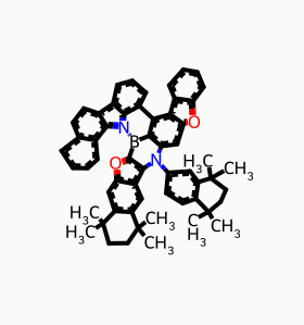 CC1(C)CCC(C)(C)c2cc(N3c4cc5oc6ccccc6c5c5c4B(c4oc6cc7c(cc6c43)C(C)(C)CCC7(C)C)n3c4c-5cccc4c4ccc5ccccc5c43)ccc21